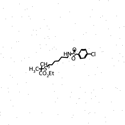 CCOC(=O)C(C)(C)SCCCCCCNS(=O)(=O)c1ccc(Cl)cc1